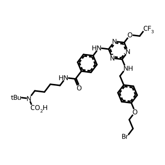 CC(C)(C)N(CCCCNC(=O)c1ccc(Nc2nc(NCc3ccc(OCCBr)cc3)nc(OCC(F)(F)F)n2)cc1)C(=O)O